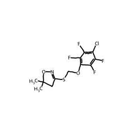 CC1(C)CC(SCOc2c(F)c(F)c(Cl)c(F)c2F)=NO1